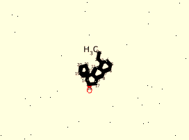 CCCc1cccc2cc3c(cc12)C1(CC(=O)C3)CC2=CCC1C2